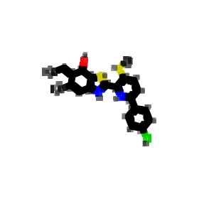 C/C=C1/C(=O)c2sc(-c3nc(-c4ccc(Cl)cc4)ccc3SCC)nc2C=C1C(F)(F)F